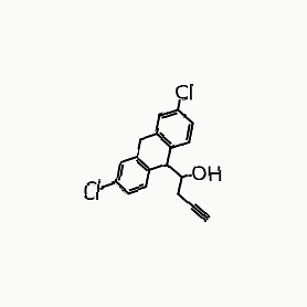 C#CCC(O)C1c2ccc(Cl)cc2Cc2cc(Cl)ccc21